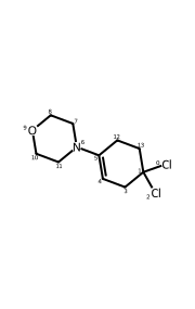 ClC1(Cl)CC=C(N2CCOCC2)CC1